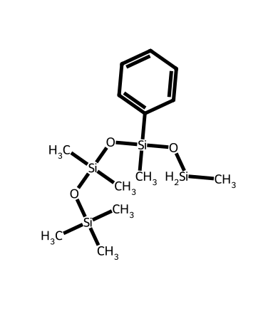 C[SiH2]O[Si](C)(O[Si](C)(C)O[Si](C)(C)C)c1ccccc1